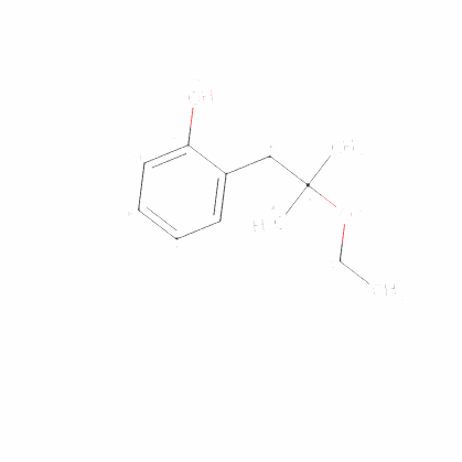 CCOC(C)(C)Cc1ccccc1O